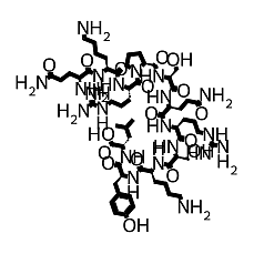 CC(C)C[C@H](NC(=O)[C@H](Cc1ccc(O)cc1)NC(=O)[C@H](CCCCN)NC(=O)[C@H](CO)NC(=O)[C@H](CCCNC(=N)N)NC(=O)[C@H](CCC(N)=O)NC(=O)[C@H](CO)NC(=O)[C@@H]1CCCN1C(=O)[C@H](CCCNC(=N)N)NC(=O)[C@H](CCCCN)NC(=O)[C@@H](N)CCC(N)=O)C(=O)O